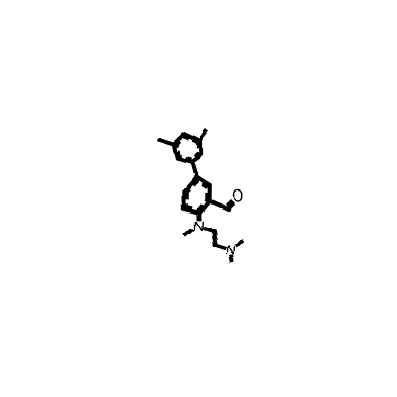 Cc1cc(C)cc(-c2ccc(N(C)CCN(C)C)c(C=O)c2)c1